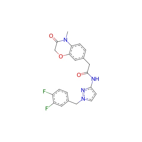 CN1C(=O)COc2cc(CC(=O)Nc3ccn(Cc4ccc(F)c(F)c4)n3)ccc21